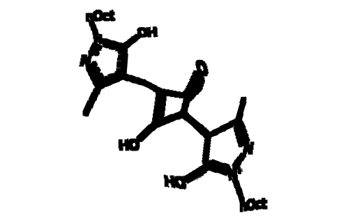 CCCCCCCCn1nc(C)c(C2=C(O)C(C3C(C)=N[N+](CCCCCCCC)=C3O)C2=O)c1O